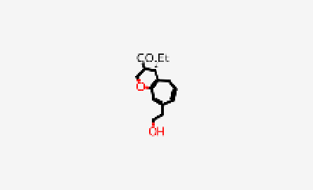 CCOC(=O)C1COC2=C(CC=CC(CCO)=C2)C1